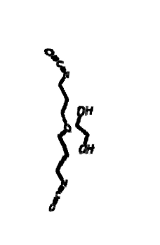 O=C=NCCCOCCCN=C=O.OCCO